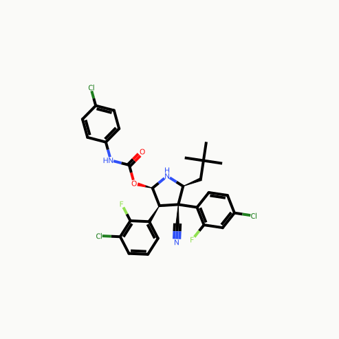 CC(C)(C)C[C@@H]1N[C@H](OC(=O)Nc2ccc(Cl)cc2)[C@H](c2cccc(Cl)c2F)[C@@]1(C#N)c1ccc(Cl)cc1F